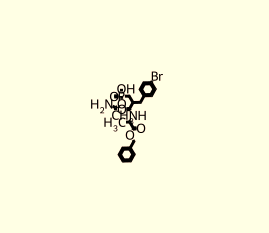 CC(N)OP(=O)(O)CC(Cc1ccc(Br)cc1)C(=O)NC(C)C(=O)OCc1ccccc1